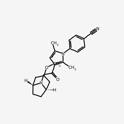 COC1C[C@H]2CC[C@H](C1)N2CC(=O)c1cc(C)n(-c2ccc(C#N)cc2)c1C